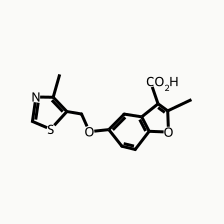 Cc1ncsc1COc1ccc2oc(C)c(C(=O)O)c2c1